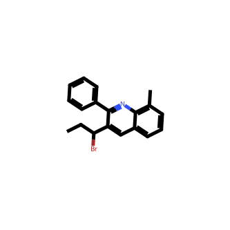 CCC(Br)c1cc2cccc(C)c2nc1-c1ccccc1